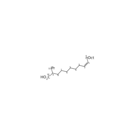 CCCCCCCC/C=C\CCCCCCC(C(=O)O)C(C)C